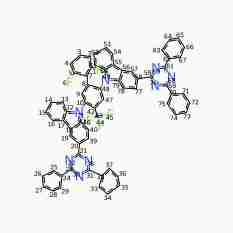 Fc1cccc(F)c1-c1cc(-n2c3ccccc3c3cc(-c4nc(-c5ccccc5)nc(-c5ccccc5)n4)ccc32)c(C(F)(F)F)cc1-n1c2ccccc2c2cc(-c3nc(-c4ccccc4)nc(-c4ccccc4)n3)ccc21